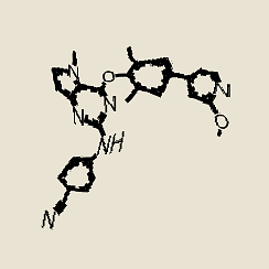 COc1cc(-c2cc(C)c(Oc3nc(Nc4ccc(C#N)cc4)nc4ccn(C)c34)c(C)c2)ccn1